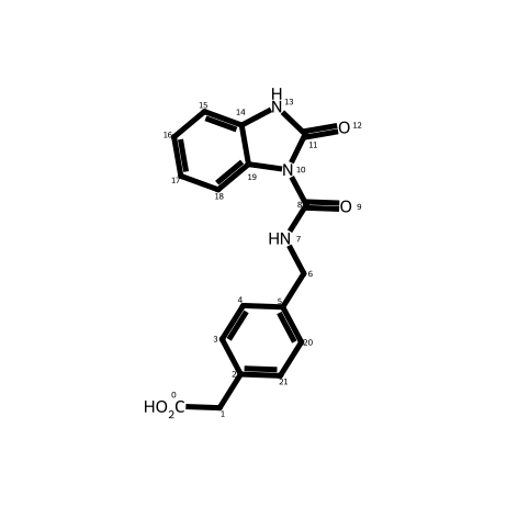 O=C(O)Cc1ccc(CNC(=O)n2c(=O)[nH]c3ccccc32)cc1